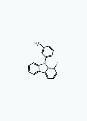 Cc1cccc(-n2c3ccccc3c3cccc(F)c32)n1